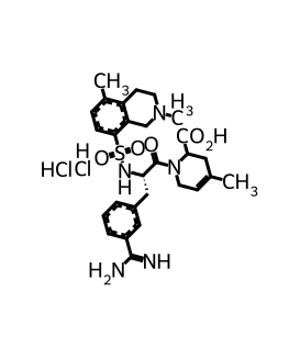 CC1=CCN(C(=O)[C@H](Cc2cccc(C(=N)N)c2)NS(=O)(=O)c2ccc(C)c3c2CN(C)CC3)C(C(=O)O)C1.Cl.Cl